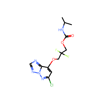 CC(C)NC(=O)OCC(F)(F)COc1cc(Cl)nn2ncnc12